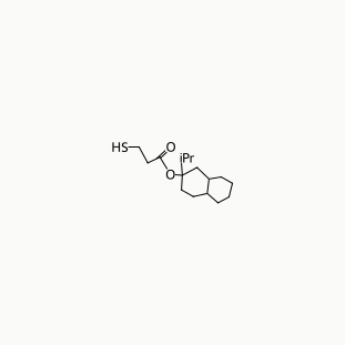 CC(C)C1(OC(=O)CCS)CCC2CCCCC2C1